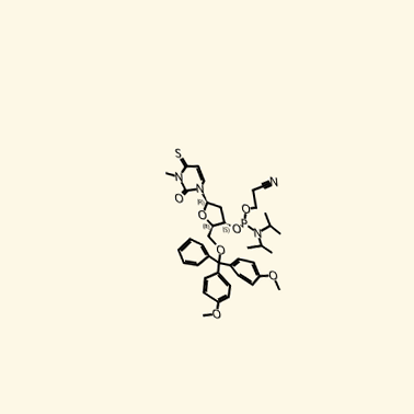 COc1ccc(C(OC[C@H]2O[C@@H](n3ccc(=S)n(C)c3=O)C[C@@H]2OP(OCCC#N)N(C(C)C)C(C)C)(c2ccccc2)c2ccc(OC)cc2)cc1